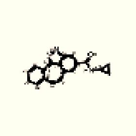 O=C(NC1CC1)c1cc2ccc3c(c4nnc(c1)c2-4)C=CCC=3